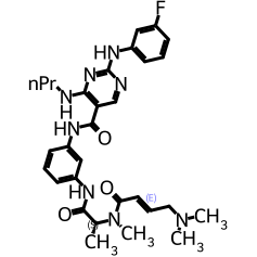 CCCNc1nc(Nc2cccc(F)c2)ncc1C(=O)Nc1cccc(NC(=O)[C@H](C)N(C)C(=O)/C=C/CN(C)C)c1